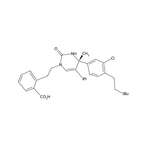 CC(C)C1=CN(CCc2ccccc2C(=O)O)C(=O)N[C@]1(C)c1ccc(CCC(C)(C)C)c(Cl)c1